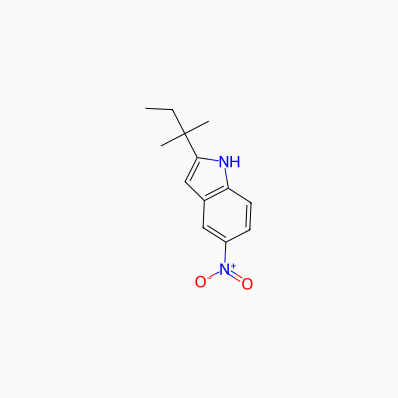 CCC(C)(C)c1cc2cc([N+](=O)[O-])ccc2[nH]1